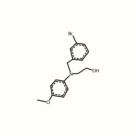 COc1ccc(N(CCO)Cc2cccc(Br)c2)cc1